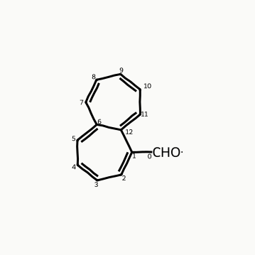 O=[C]C1=CC=CC=C2C=CC=CC=C12